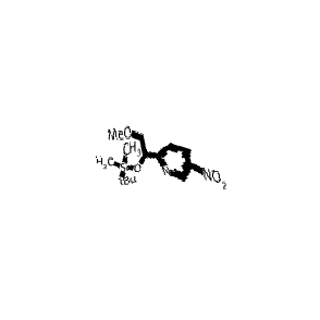 COCC(O[Si](C)(C)C(C)(C)C)c1ccc([N+](=O)[O-])cn1